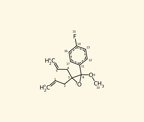 C=CCC1(CC=C)OC1(OC)c1ccc(F)cc1